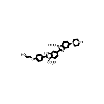 CCOC(=O)N1c2ccc(-c3nc4cc(N5CCNCC5)ccc4n3C(=O)OCC)cc2NC1c1ccc(OCCO)cc1